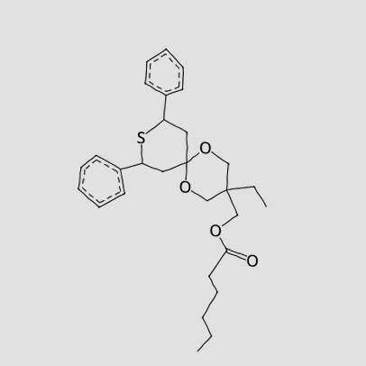 CCCCCC(=O)OCC1(CC)COC2(CC(c3ccccc3)SC(c3ccccc3)C2)OC1